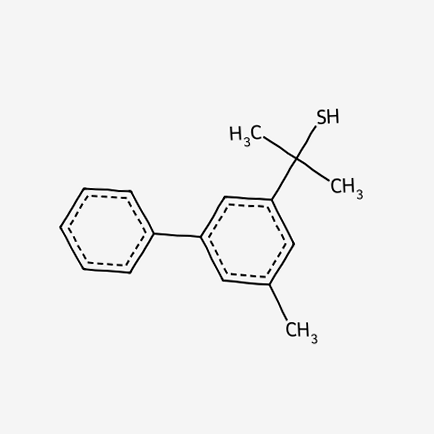 Cc1cc(-c2ccccc2)cc(C(C)(C)S)c1